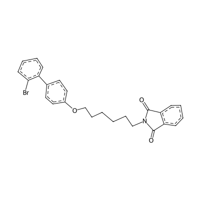 O=C1c2ccccc2C(=O)N1CCCCCCOc1ccc(-c2ccccc2Br)cc1